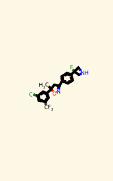 CC1(c2cc(Cl)cc(C(F)(F)F)c2)CC(c2ccc(C3(F)CNC3)cc2)=NO1